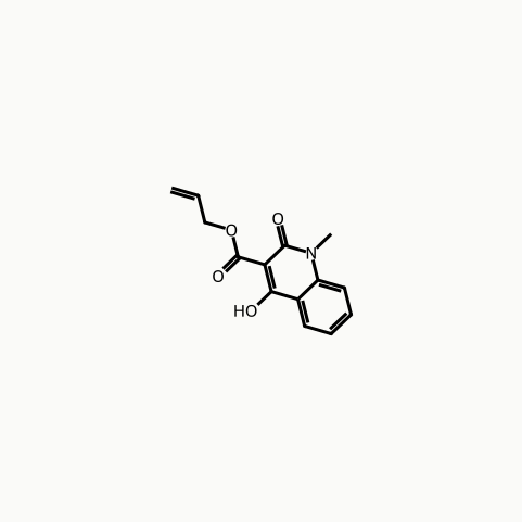 C=CCOC(=O)c1c(O)c2ccccc2n(C)c1=O